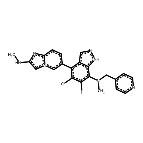 CNc1cn2cc(-c3c(Cl)c(F)c(N(C)Cc4ccncc4)c4[nH]ncc34)ccc2n1